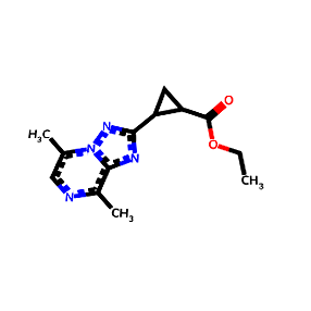 CCOC(=O)C1CC1c1nc2c(C)ncc(C)n2n1